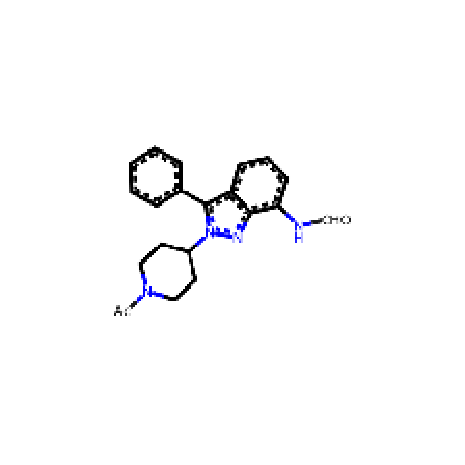 CC(=O)N1CCC(n2nc3c(NC=O)cccc3c2-c2ccccc2)CC1